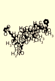 CC[C@H](C)[C@@H]([C@@H](CC(=O)N1CCC[C@H]1[C@H](OC)[C@@H](C)C(=O)N[C@@H](Cc1ccccc1)C(=O)OC)OC)N(C)C(=O)C(NC(=O)[C@H](C(C)C)N(C)C[C@@H](C)NC(=O)[C@H](CCCNC(N)=O)NC(=O)C(NC(=O)CCCCCN1C(=O)C=CC1=O)C(C)C)C(C)C